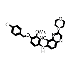 COc1cc(Nc2ccc3ncc(N4CCOCC4)nc3c2C#N)ccc1OCc1ccc(Cl)cc1